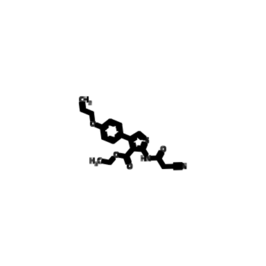 C=CCOc1ccc(-c2csc(NC(=O)CC#N)c2C(=O)OCC)cc1